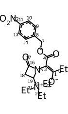 CC/C([O-])=C(\C(=O)OCc1ccc([N+](=O)[O-])cc1)N1C(=O)CC1[N+](CC)(CC)CC